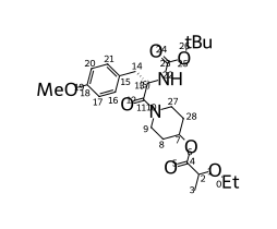 CCOC(C)C(=O)OC1CCN(C(=O)[C@H](Cc2ccc(OC)cc2)NC(=O)OC(C)(C)C)CC1